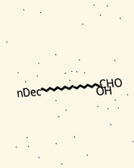 CCCCCCCCCCCCCCCCCCCCCCCCCC(O)[C]=O